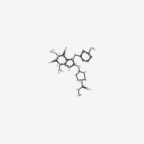 Cc1cccc(Cn2c(OC3CCN(C(=O)CC(C)C)CC3)nc3c2c(=O)n(C)c(=O)n3C)c1